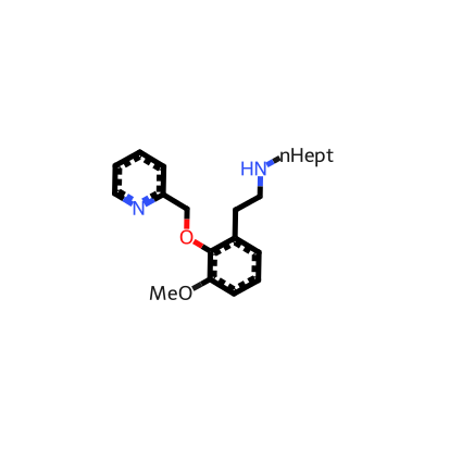 CCCCCCCNCCc1cccc(OC)c1OCc1ccccn1